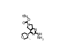 C[C@@H]1COCCN1c1nc(NN)nc2c1CN(C(=O)OC(C)(C)C)C2